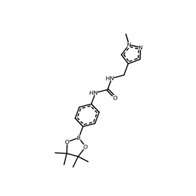 Cn1cc(CNC(=O)Nc2ccc(B3OC(C)(C)C(C)(C)O3)cc2)cn1